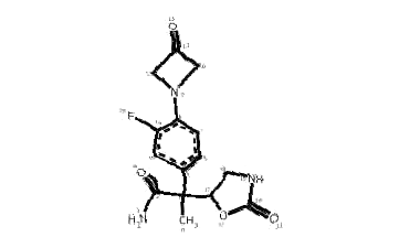 CC(C(N)=O)(c1ccc(N2CC(=O)C2)c(F)c1)C1CNC(=O)O1